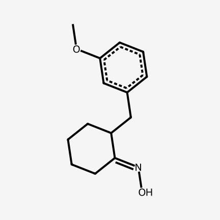 COc1cccc(CC2CCCCC2=NO)c1